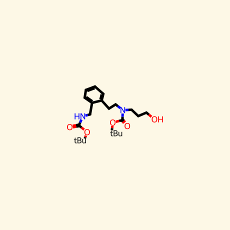 CC(C)(C)OC(=O)NCc1ccccc1CCN(CCCO)C(=O)OC(C)(C)C